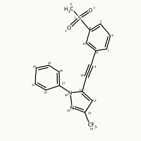 CS(=O)(=O)c1cccc(C#Cc2cc(C(F)(F)F)nn2-c2ccccc2)c1